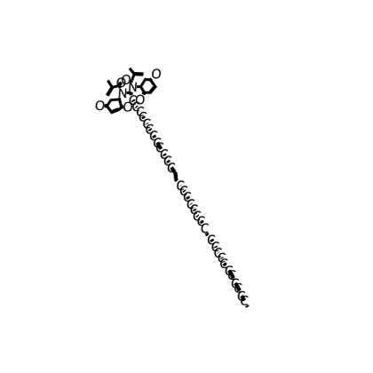 C=C=C=C=C=C=C=C=C=C=C=C=C=C=C=C=C=C=C=C=C=C=C=C=C=C=C=C=C=C=C=C=C=C=C=C(N(C(=O)C(=C)C)C1CC(=O)C=CC1=O)N(C(=O)C(=C)C)C1CC(=O)C=CC1=O